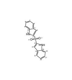 O=S(=O)(c1cc2ccccc2[nH]1)c1cc2ccccc2[nH]1